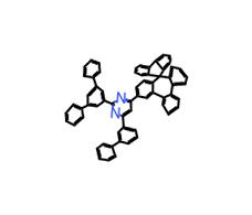 c1ccc(-c2cccc(-c3cc(-c4ccc5c(c4)-c4ccccc4-c4ccccc4C54c5ccccc5-c5ccccc54)nc(-c4cc(-c5ccccc5)cc(-c5ccccc5)c4)n3)c2)cc1